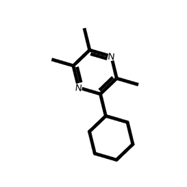 Cc1nc(C)c(C2CCCCC2)nc1C